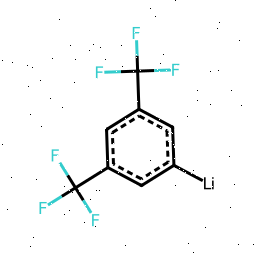 [Li][c]1cc(C(F)(F)F)cc(C(F)(F)F)c1